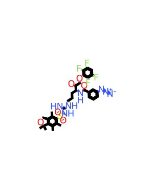 Cc1c(C)c(S(=O)(=O)NC(=N)NCCCC(NC(=O)c2cccc(N=[N+]=[N-])c2)C(=O)COc2c(F)c(F)cc(F)c2F)c(C)c2c1C(C)(C)OC2